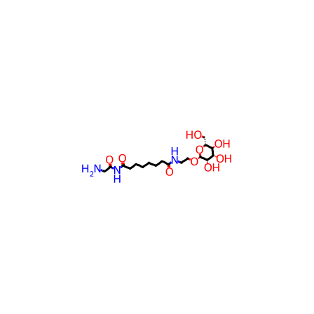 NCC(=O)NC(=O)CCCCCCC(=O)NCCO[C@H]1O[C@H](CO)[C@@H](O)[C@H](O)[C@@H]1O